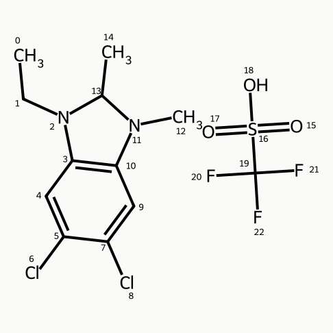 CCN1c2cc(Cl)c(Cl)cc2N(C)C1C.O=S(=O)(O)C(F)(F)F